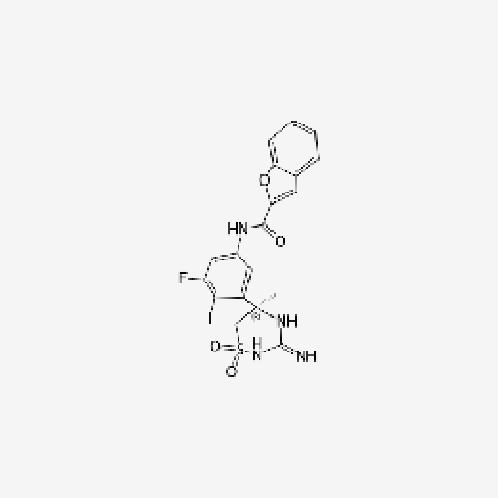 C[C@@]1(c2cc(NC(=O)c3cc4ccccc4o3)cc(F)c2I)CS(=O)(=O)NC(=N)N1